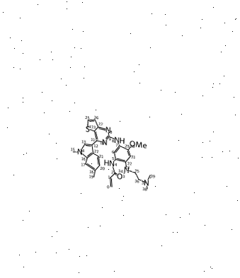 C=CC(=O)Nc1cc(Nc2nc(-c3cn(C)c4cc(C)ccc34)c3sccc3n2)c(OC)cc1N(C)CCN(C)C